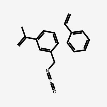 C=C(C)c1cccc(CN=C=O)c1.C=Cc1ccccc1